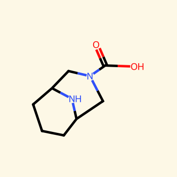 O=C(O)N1CC2CCCC(C1)N2